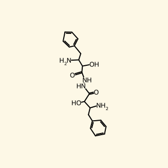 NC(Cc1ccccc1)C(O)C(=O)NNC(=O)C(O)C(N)Cc1ccccc1